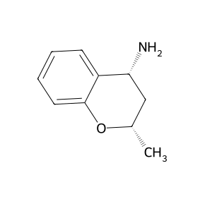 C[C@H]1C[C@@H](N)c2ccccc2O1